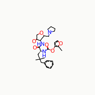 Cc1occc1OC(=O)N[C@@H](CC(C)(C)Cc1ccccc1)C(=O)NC1C(=O)COC1CN1CCCC1